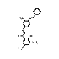 Cc1cc(C(=O)C=Cc2ccc(OCc3ccccc3)c(C)c2)c(O)c([N+](=O)[O-])c1